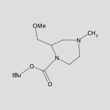 COCC1CN(C)CCN1C(=O)OC(C)(C)C